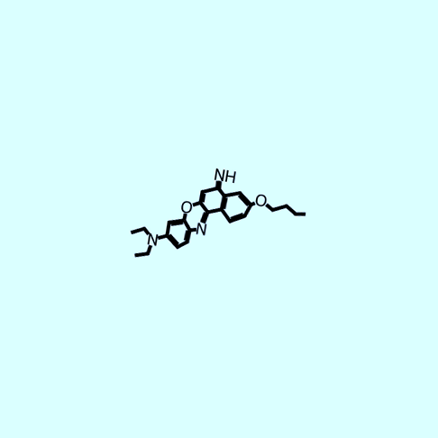 CCCCOc1ccc2c3nc4ccc(N(CC)CC)cc4oc-3cc(=N)c2c1